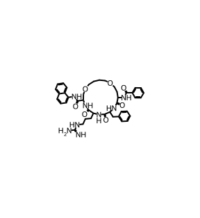 N=C(N)NCCCC1NC(=O)C(Cc2ccccc2)NC(=O)C(NC(=O)c2ccccc2)CCOCCCCOCC(C(=O)Nc2cccc3ccccc23)NC1=O